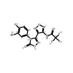 O=C(Nc1nonc1-c1noc(=O)n1-c1ccc(F)c(Br)c1)C(F)(F)F